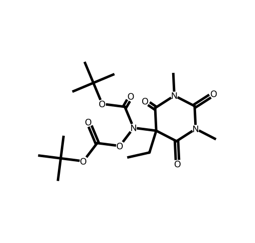 CCC1(N(OC(=O)OC(C)(C)C)C(=O)OC(C)(C)C)C(=O)N(C)C(=O)N(C)C1=O